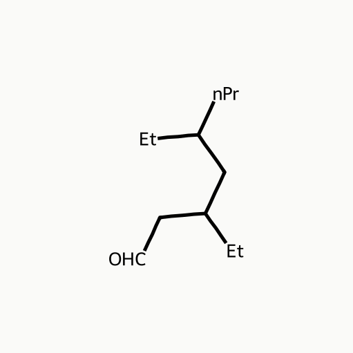 CCCC(CC)CC(CC)CC=O